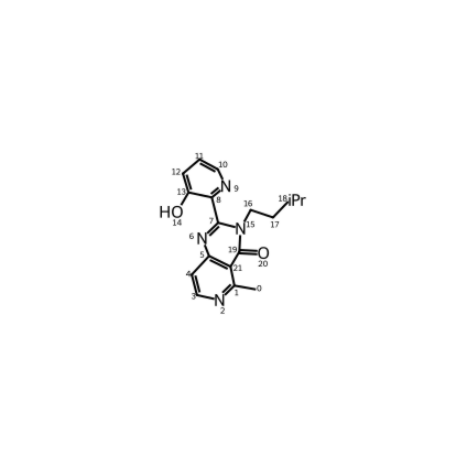 Cc1nccc2nc(-c3ncccc3O)n(CCC(C)C)c(=O)c12